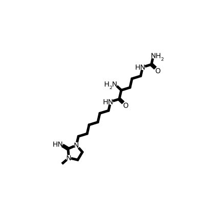 CN1CCN(CCCCCCNC(=O)C(N)CCCNC(N)=O)C1=N